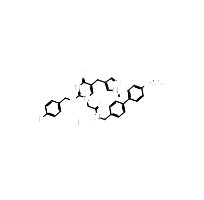 COc1ccc(-c2ccc(CN(C)C(=O)Cn3cc(Cc4cnn(C)c4)c(=O)nc3SCc3ccc(F)cc3)cc2)cc1